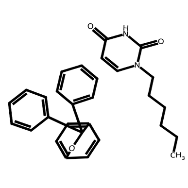 CCCCCCn1ccc(=O)[nH]c1=O.c1ccc(C2(c3ccccc3)Oc3ccc2cc3)cc1